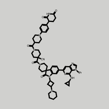 CC(C)n1cnc2cc(-c3ccc4c(c3)N(C3CC(N5CCCCC5)C3)C(=O)C43CCN(C(=O)C4(C#N)CCN(C(=O)C5CCN(c6ccc(C7CCC(=O)NC7=O)cc6)CC5)CC4)CC3)nc(NC3CC3)c21